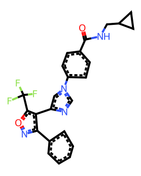 O=C(NCC1CC1)c1ccc(-n2cnc(-c3c(-c4ccccc4)noc3C(F)(F)F)c2)cc1